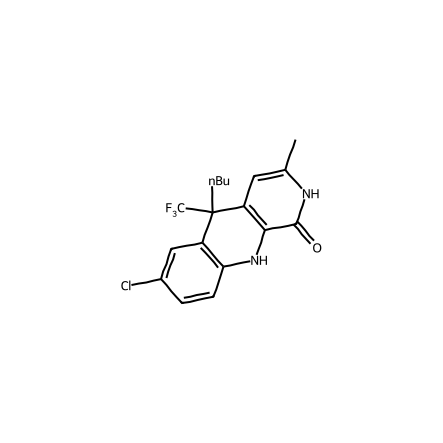 CCCCC1(C(F)(F)F)c2cc(Cl)ccc2Nc2c1cc(C)[nH]c2=O